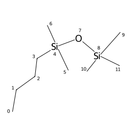 CCCC[Si](C)(C)O[Si](C)(C)C